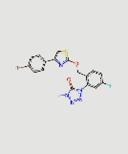 Cn1nnn(-c2cc(F)ccc2COc2nc(-c3ccc(Br)cc3)cs2)c1=O